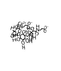 CC(C)(CO)[C@@H](O)C(=O)NCCC(=O)[O-].CC(C)(CO)[C@@H](O)C(=O)NCCC(=O)[O-].O[C@H]1[C@H](O)[C@@H](O)[C@H](O)[C@@H](O)[C@H]1O.[Ca+2]